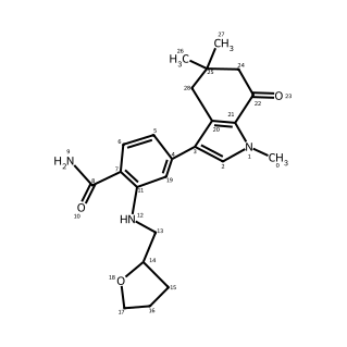 Cn1cc(-c2ccc(C(N)=O)c(NCC3CCCO3)c2)c2c1C(=O)CC(C)(C)C2